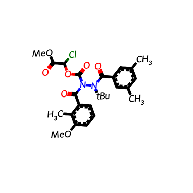 COC(=O)C(Cl)OC(=O)N(C(=O)c1cccc(OC)c1C)N(C(=O)c1cc(C)cc(C)c1)C(C)(C)C